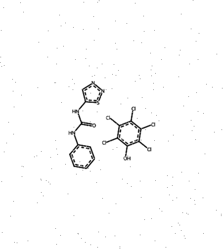 O=C(Nc1ccccc1)Nc1cnns1.Oc1c(Cl)c(Cl)c(Cl)c(Cl)c1Cl